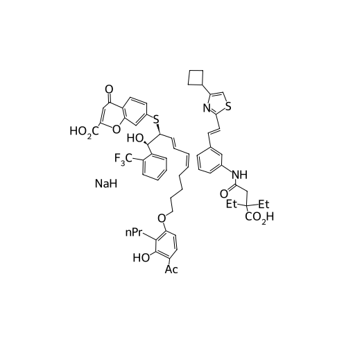 CCC(CC)(CC(=O)Nc1cccc(/C=C/c2nc(C3CCC3)cs2)c1)C(=O)O.CCCc1c(OCCCC/C=C\C=C\[C@H](Sc2ccc3c(=O)cc(C(=O)O)oc3c2)[C@H](O)c2ccccc2C(F)(F)F)ccc(C(C)=O)c1O.[NaH]